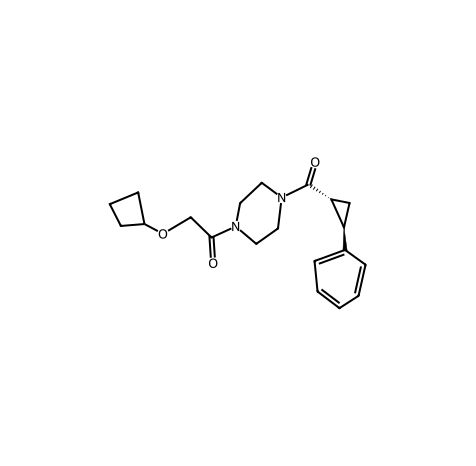 O=C(COC1CCC1)N1CCN(C(=O)[C@@H]2C[C@H]2c2ccccc2)CC1